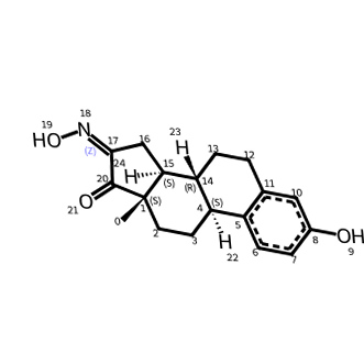 C[C@]12CC[C@@H]3c4ccc(O)cc4CC[C@H]3[C@@H]1C/C(=N/O)C2=O